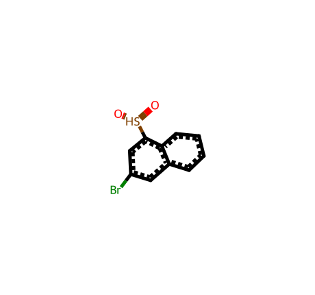 O=[SH](=O)c1cc(Br)cc2ccccc12